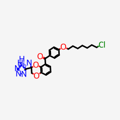 NC1(c2nnn[nH]2)COc2cccc(C(=O)c3ccc(OCCCCCCCCl)cc3)c2O1